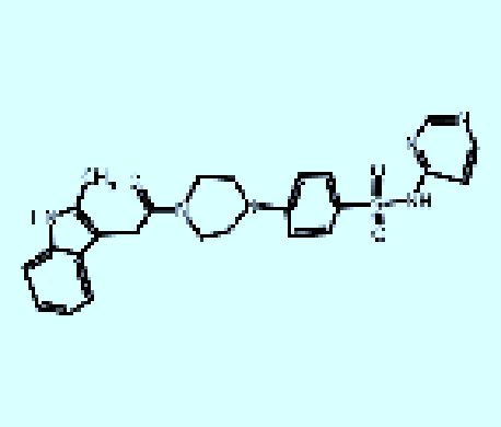 Cc1[nH]c2ccccc2c1CC(=O)N1CCN(c2ccc(S(=O)(=O)Nc3ccncn3)cc2)CC1